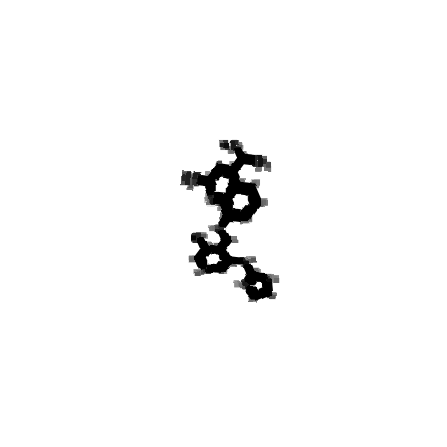 C=C(C)c1cc(C)nc2c(OCc3c(Cl)cncc3Sc3nccs3)cccc12